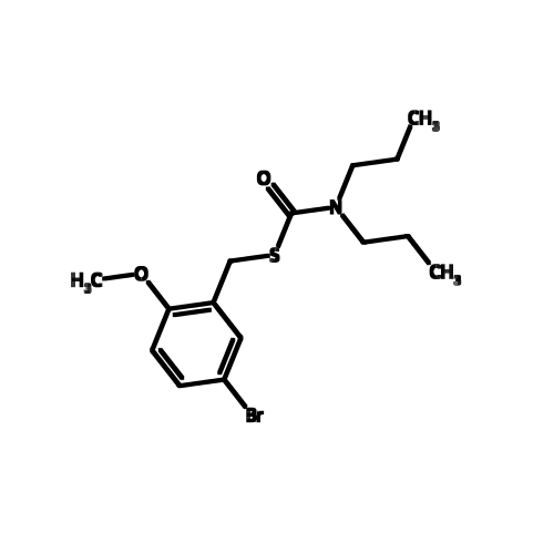 CCCN(CCC)C(=O)SCc1cc(Br)ccc1OC